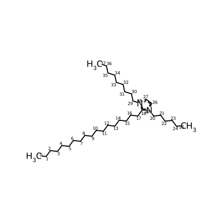 CCCCCCCCCCCCCCCCCCc1n(CCCCCC)cc[n+]1CCCCCCCCC